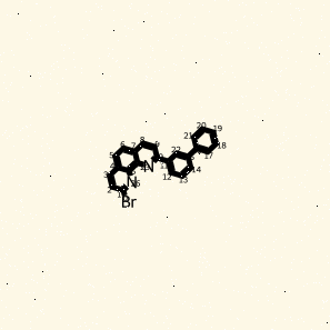 Brc1ccc2ccc3ccc(-c4cccc(-c5ccccc5)c4)nc3c2n1